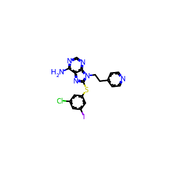 Nc1ncnc2c1nc(Sc1cc(Cl)cc(I)c1)n2CCc1ccncc1